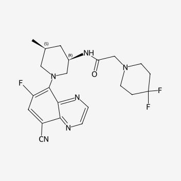 C[C@H]1C[C@@H](NC(=O)CN2CCC(F)(F)CC2)CN(c2c(F)cc(C#N)c3nccnc23)C1